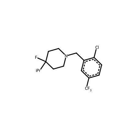 CC(C)C1(F)CCN(Cc2cc(C(F)(F)F)ccc2Cl)CC1